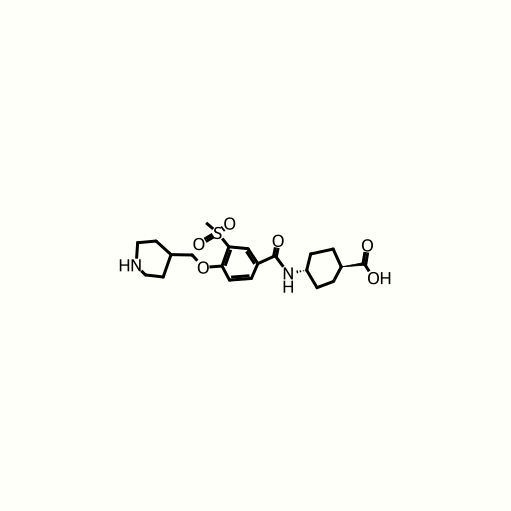 CS(=O)(=O)c1cc(C(=O)N[C@H]2CC[C@H](C(=O)O)CC2)ccc1OCC1CCNCC1